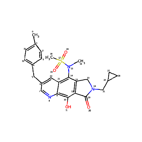 Cc1ccc(Cc2cnc3c(O)c4c(c(N(C)S(C)(=O)=O)c3c2)CN(CC2CC2)C4=O)cc1